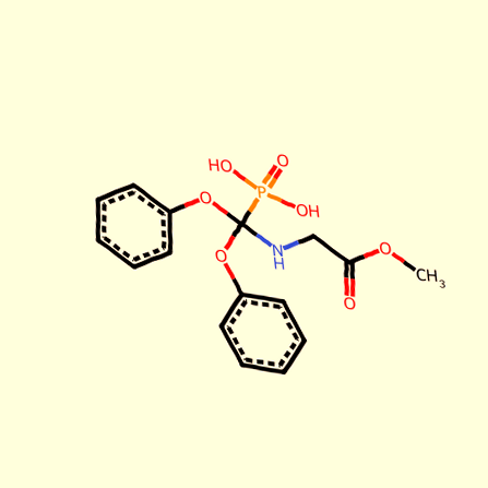 COC(=O)CNC(Oc1ccccc1)(Oc1ccccc1)P(=O)(O)O